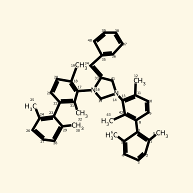 Cc1cccc(C)c1-c1ccc(C)c(N2[C]N(c3c(C)ccc(-c4c(C)cccc4C)c3C)C(=Cc3ccccc3)C2)c1C